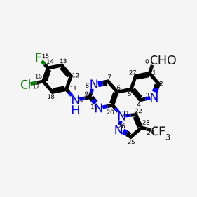 O=Cc1cncc(-c2cnc(Nc3ccc(F)c(Cl)c3)nc2-n2cc(C(F)(F)F)cn2)c1